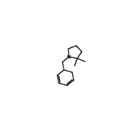 CC1(C)CCCN1CC1C=CC=CC1